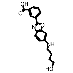 O=C(O)c1cccc(-c2nc3ccc(NCCCCO)cc3o2)c1